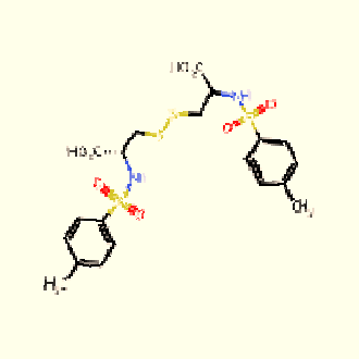 Cc1ccc(S(=O)(=O)NC(CSSC[C@H](NS(=O)(=O)c2ccc(C)cc2)C(=O)O)C(=O)O)cc1